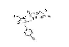 CS(=O)(=O)O[C@@H]1C[C@H]2CN(C(=O)O)[C@@H](Cc3ccc(Cl)cc3)CN2C1